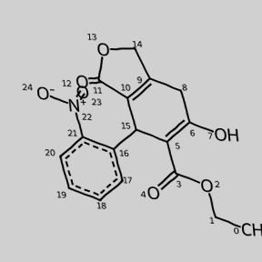 CCOC(=O)C1=C(O)CC2=C(C(=O)OC2)C1c1ccccc1[N+](=O)[O-]